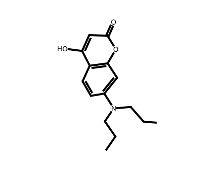 CCCN(CCC)c1ccc2c(O)cc(=O)oc2c1